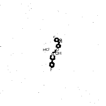 Cl.O[C@H](COc1ccc(-c2noc3cc(F)ccc23)cc1)CN1CCC(c2ccc(F)cc2)CC1